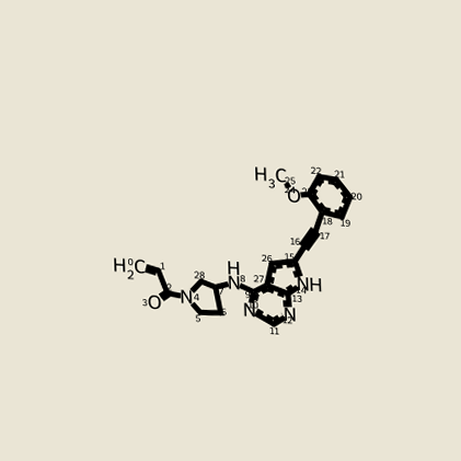 C=CC(=O)N1CCC(Nc2ncnc3[nH]c(C#Cc4ccccc4OC)cc23)C1